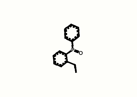 CCc1ccccc1[P](=O)c1ccccc1